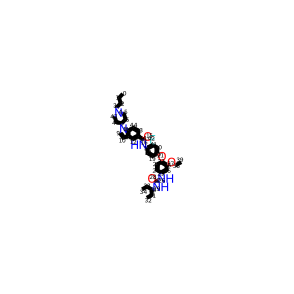 CCCCN1CCC(n2ccc3cc(C(=O)Nc4ccc(Oc5ccc(NC(=O)NC(CC)CC)cc5OCC)cc4F)ccc32)CC1